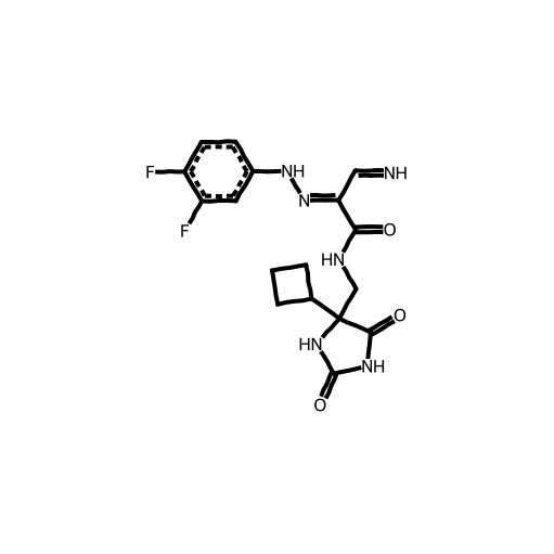 N=C/C(=N\Nc1ccc(F)c(F)c1)C(=O)NCC1(C2CCC2)NC(=O)NC1=O